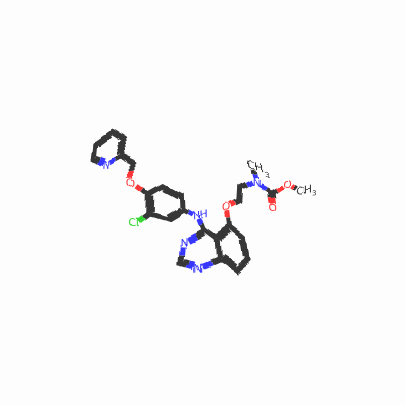 COC(=O)N(C)CCOc1cccc2ncnc(Nc3ccc(OCc4ccccn4)c(Cl)c3)c12